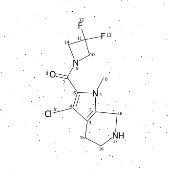 Cn1c2c(c(Cl)c1C(=O)N1CC(F)(F)C1)CCNC2